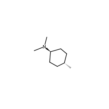 CN(C)[C@H]1CC[C@H](C)CC1